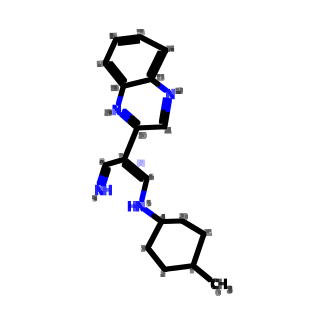 CC1CCC(N/C=C(\C=N)c2cnc3ccccc3n2)CC1